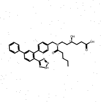 CCCCC(=O)N(CC[C@@H](O)CCC(=O)O)Cc1ccc(-c2cc(-c3ccccc3)ccc2-c2nn[nH]n2)cc1